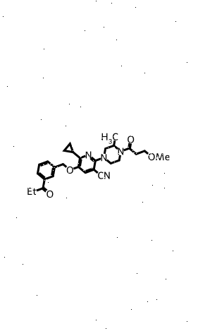 CCC(=O)c1cccc(COc2cc(C#N)c(N3CCN(C(=O)CCOC)C(C)C3)nc2C2CC2)c1